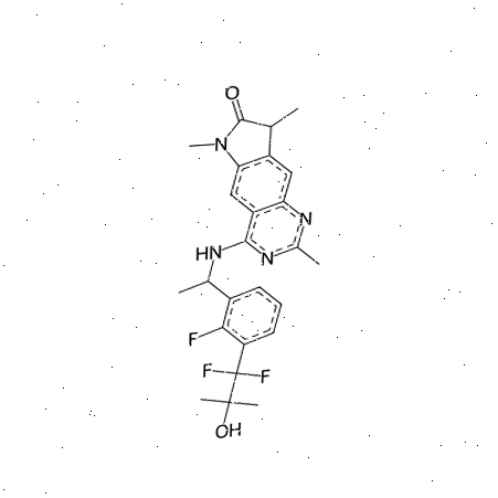 Cc1nc(NC(C)c2cccc(C(F)(F)C(C)(C)O)c2F)c2cc3c(cc2n1)C(C)C(=O)N3C